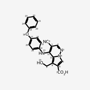 N#Cc1cnn2cc(C(=O)O)c(CO)c2c1Nc1ccc(Oc2ccccc2)cc1